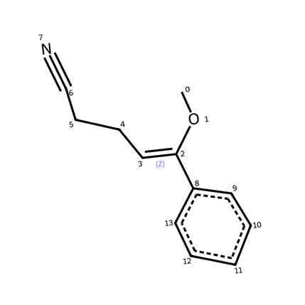 CO/C(=C\CCC#N)c1ccccc1